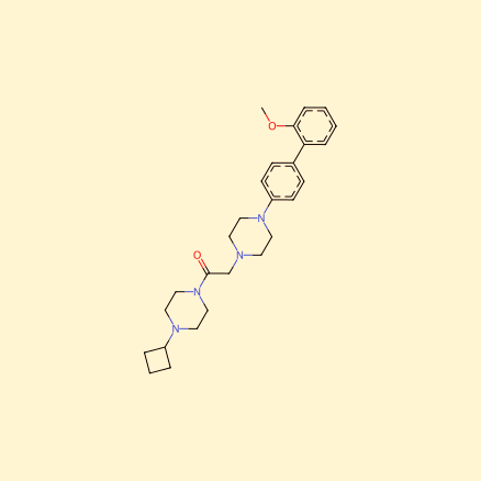 COc1ccccc1-c1ccc(N2CCN(CC(=O)N3CCN(C4CCC4)CC3)CC2)cc1